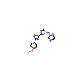 Cc1nc(-c2nc(-c3ccc(OCF)cc3)no2)nn1Cc1cnccn1